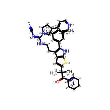 Cc1cc(C)cc(-c2[nH]c3sc(C(C)(C)C(=O)N4CC5CCC4CC5)cc3c2CCN/C(=N/C#N)N2CCC(c3ccncc3)C2)c1